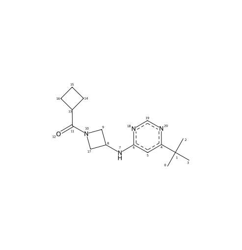 CC(C)(C)c1cc(NC2CN(C(=O)C3CCC3)C2)ncn1